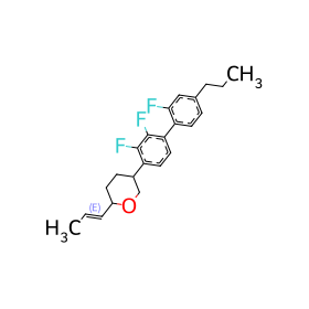 C/C=C/C1CCC(c2ccc(-c3ccc(CCC)cc3F)c(F)c2F)CO1